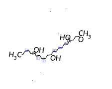 CC/C=C\C[C@H](O)/C=C/C=C\CC(O)/C=C/C=C/C=C/[C@@H](O)CCC(C)=O